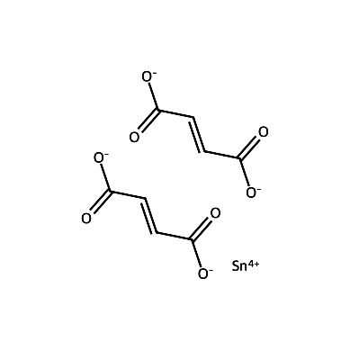 O=C([O-])/C=C/C(=O)[O-].O=C([O-])/C=C/C(=O)[O-].[Sn+4]